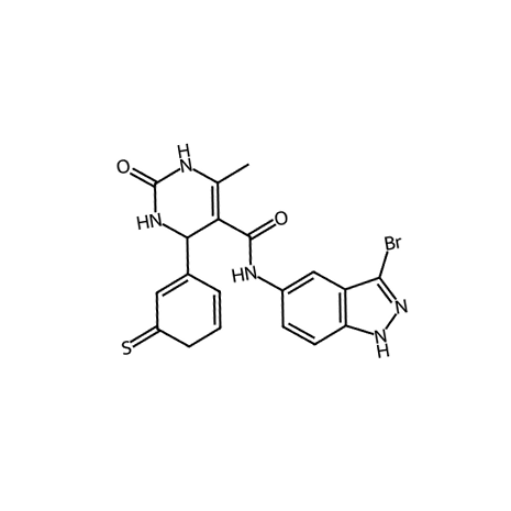 CC1=C(C(=O)Nc2ccc3[nH]nc(Br)c3c2)C(C2=CC(=S)CC=C2)NC(=O)N1